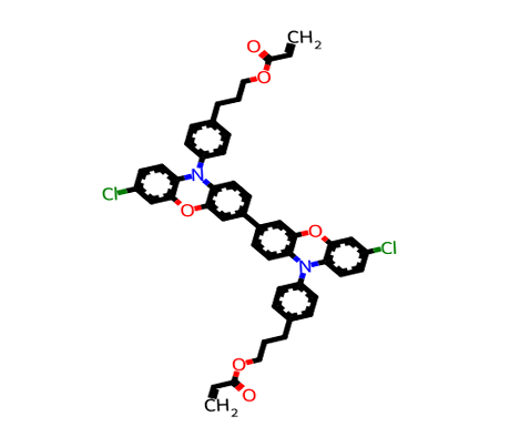 C=CC(=O)OCCCc1ccc(N2c3ccc(Cl)cc3Oc3cc(-c4ccc5c(c4)Oc4cc(Cl)ccc4N5c4ccc(CCCOC(=O)C=C)cc4)ccc32)cc1